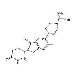 COC(OC)C1CCN(c2cc3c(cc2F)CN(C2CCC(=O)NC2=O)C3=O)CC1